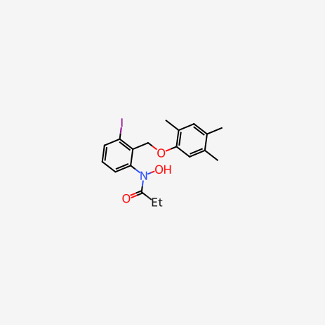 CCC(=O)N(O)c1cccc(I)c1COc1cc(C)c(C)cc1C